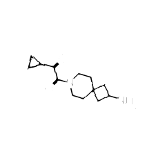 NC1CC2(CCN(C(=O)C(=O)C3CC3)CC2)C1